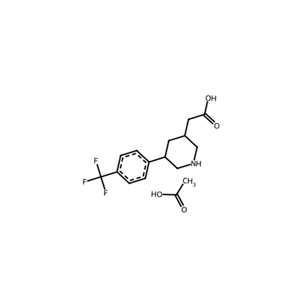 CC(=O)O.O=C(O)CC1CNCC(c2ccc(C(F)(F)F)cc2)C1